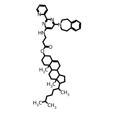 CC(C)CCCC(C)C1CCC2C3CC=C4CC(OC(=O)CCNc5cc(N6CCc7ccccc7CC6)nc(-c6ccccn6)n5)CCC4(C)C3CCC12C